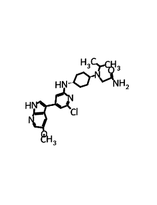 COc1cnc2[nH]cc(-c3cc(Cl)nc(N[C@H]4CC[C@H](N(CC(N)=O)C(C)C)CC4)c3)c2c1